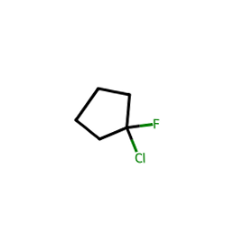 FC1(Cl)CCCC1